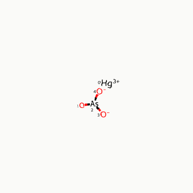 [Hg+3].[O-][As]([O-])[O-]